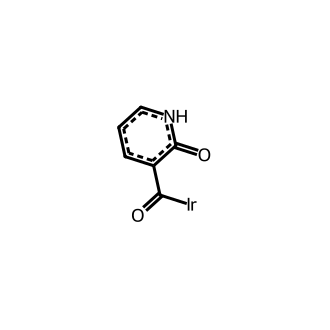 O=[C]([Ir])c1ccc[nH]c1=O